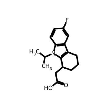 CC(C)n1c2c(c3cc(F)ccc31)CCCC2CC(=O)O